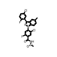 Cc1ccc2c(c1)c(-c1cc(Cl)ccc1F)nn2-c1cc(F)c(C(=O)N[S+](C)[O-])cc1Cl